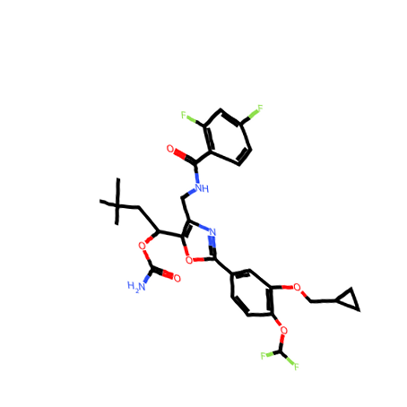 CC(C)(C)CC(OC(N)=O)c1oc(-c2ccc(OC(F)F)c(OCC3CC3)c2)nc1CNC(=O)c1ccc(F)cc1F